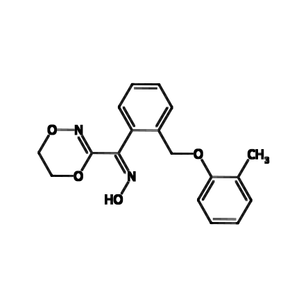 Cc1ccccc1OCc1ccccc1C(=NO)C1=NOCCO1